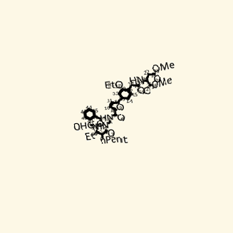 CCCCCC(C(=O)NCNC(=O)c1ccc(-c2ccc(CC(=O)NC(CC(=O)OC)C(=O)OC)c(OCC)c2)o1)[C@@H](CC)N(C=O)OCc1ccccc1